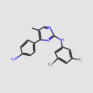 Cc1cnc(Nc2cc(C(F)(F)F)cc(C(F)(F)F)c2)nc1-c1ccc(N)cc1